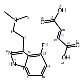 CN(C)CCc1n[nH]c2cccc(F)c12.O=C(O)/C=C/C(=O)O